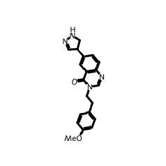 COc1ccc(CCn2cnc3ccc(C4C=NNC4)cc3c2=O)cc1